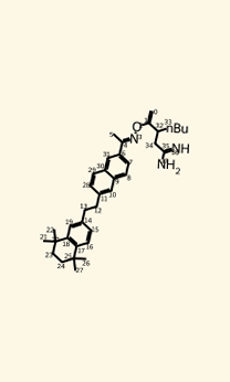 C=C(O/N=C(\C)c1ccc2cc(CCc3ccc4c(c3)C(C)(C)CCC4(C)C)ccc2c1)C(CCCC)CC(=N)N